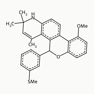 COc1cccc2c1-c1ccc3c(c1C(c1cccc(SC)c1)O2)C(C)=CC(C)(C)N3